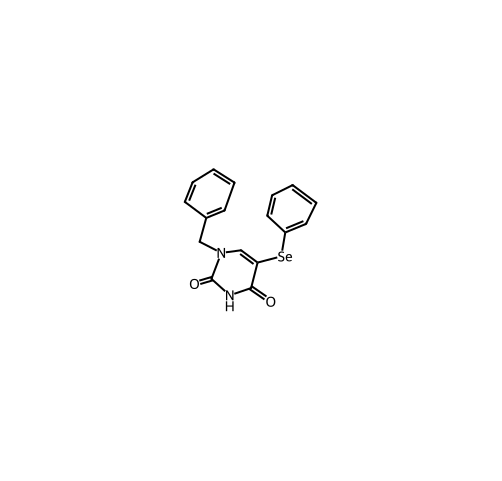 O=c1[nH]c(=O)n(Cc2ccccc2)cc1[Se]c1ccccc1